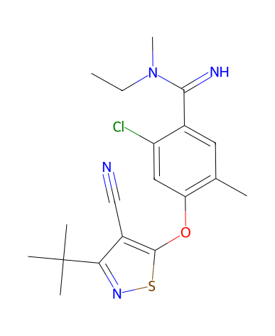 CCN(C)C(=N)c1cc(C)c(Oc2snc(C(C)(C)C)c2C#N)cc1Cl